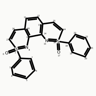 O=S1(c2ccccc2)=Nc2c(ccc3c2N=S(=O)(c2ccccc2)C=C3)C=C1